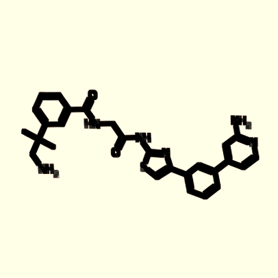 CC(C)(CN)c1cccc(C(=O)NCC(=O)Nc2nc(-c3cccc(-c4ccnc(N)c4)c3)cs2)c1